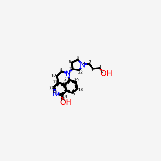 OCCCN1CCC(N2CCc3cnc(O)c4cccc2c34)C1